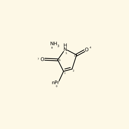 CCCC1=CC(=O)NC1=O.N